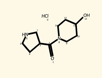 Cl.O=C(C1CCNC1)N1CCC(O)CC1